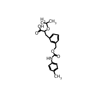 Cc1ccc(NC(=O)OCc2cccc(CC(OC(C)C)C(=O)O)c2)cc1